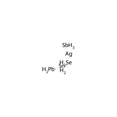 [Ag].[PbH2].[SbH3].[SeH2].[SnH2]